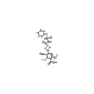 CCc1c(C#N)c(N2CC(C(=O)NS(=O)(=O)Cc3ccccc3)C2)nc(OC)c1C(=O)O